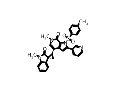 Cc1ccc(S(=O)(=O)n2c(-c3cccnc3)cc3c([C@H]4C[C@]45C(=O)N(C)c4ccccc45)cn(C)c(=O)c32)cc1